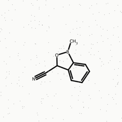 CB1OC(C#N)c2ccccc21